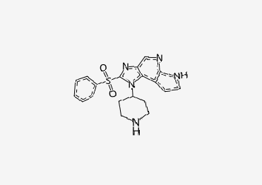 O=S(=O)(c1ccccc1)c1nc2cnc3[nH]ccc3c2n1C1CCNCC1